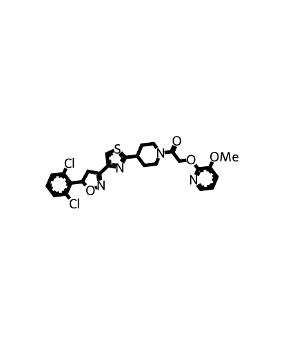 COc1cccnc1OCC(=O)N1CCC(c2nc(C3=NOC(c4c(Cl)cccc4Cl)C3)cs2)CC1